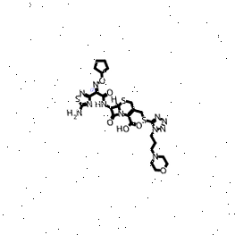 Nc1nc(/C(=N/OC2CCCC2)C(=O)NC2C(=O)N3C(C(=O)O)=C(CSc4nnnn4CCCN4CCOCC4)CS[C@H]23)ns1